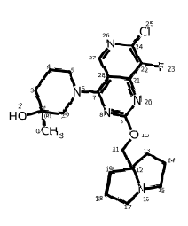 C[C@@]1(O)CCCN(c2nc(OCC34CCCN3CCC4)nc3c(F)c(Cl)ncc23)C1